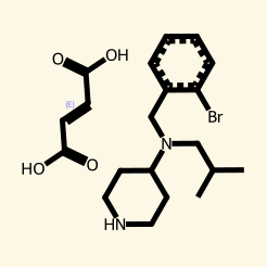 CC(C)CN(Cc1ccccc1Br)C1CCNCC1.O=C(O)/C=C/C(=O)O